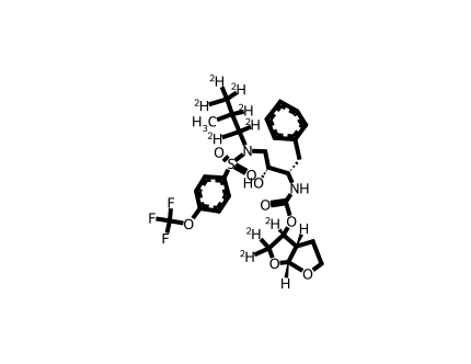 [2H]C([2H])([2H])C([2H])(C)C([2H])([2H])N(C[C@@H](O)[C@H](Cc1ccccc1)NC(=O)O[C@]1([2H])[C@@H]2CCO[C@@H]2OC1([2H])[2H])S(=O)(=O)c1ccc(OC(F)(F)F)cc1